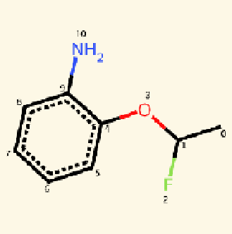 CC(F)Oc1ccccc1N